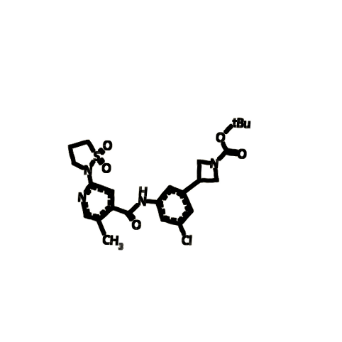 Cc1cnc(N2CCCS2(=O)=O)cc1C(=O)Nc1cc(Cl)cc(C2CN(C(=O)OC(C)(C)C)C2)c1